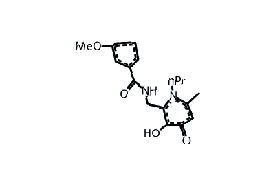 CCCn1c(C)cc(=O)c(O)c1CNC(=O)c1cccc(OC)c1